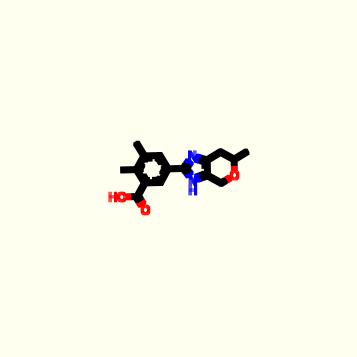 Cc1cc(-c2nc3c([nH]2)COC(C)C3)cc(C(=O)O)c1C